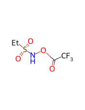 CCS(=O)(=O)NOC(=O)C(F)(F)F